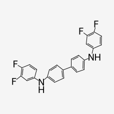 Fc1ccc(Nc2ccc(-c3ccc(Nc4ccc(F)c(F)c4)cc3)cc2)cc1F